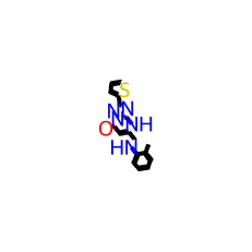 Cc1ccccc1NCc1cc(=O)n2nc(-c3cccs3)nc2[nH]1